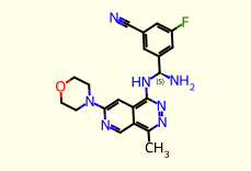 Cc1nnc(N[C@H](N)c2cc(F)cc(C#N)c2)c2cc(N3CCOCC3)ncc12